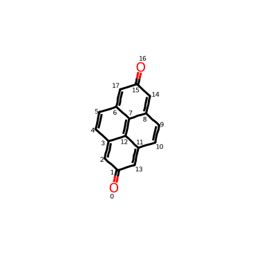 O=C1C=c2ccc3c4c(ccc(c24)=C1)=CC(=O)C=3